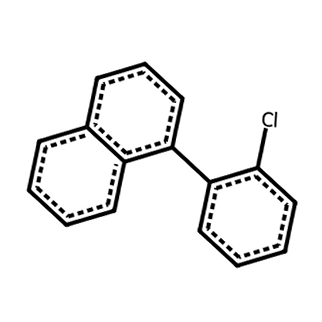 Clc1ccccc1-c1cccc2ccccc12